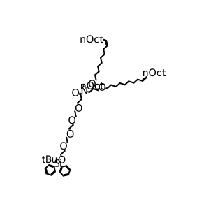 CCCCCCCC/C=C\CCCCCCCCOCC(CN(CCCCCCCC)C(=O)CCOCCOCCOCCOCCO[Si](c1ccccc1)(c1ccccc1)C(C)(C)C)OCCCCCCCC/C=C\CCCCCCCC